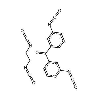 O=C=NCCN=C=O.O=C=Nc1cccc(C(=O)c2cccc(N=C=O)c2)c1